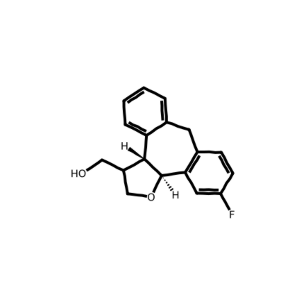 OCC1CO[C@@H]2c3cc(F)ccc3Cc3ccccc3[C@@H]12